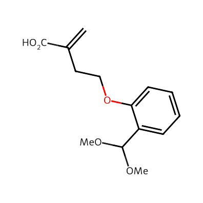 C=C(CCOc1ccccc1C(OC)OC)C(=O)O